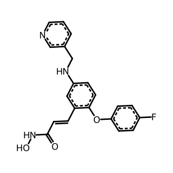 O=C(/C=C/c1cc(NCc2cccnc2)ccc1Oc1ccc(F)cc1)NO